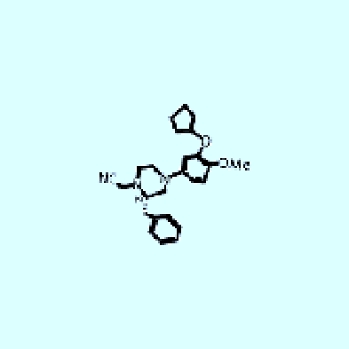 COc1ccc(N2CCN(CC#N)[C@@H](Cc3ccccc3)C2)cc1OC1CCCC1